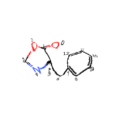 O=C1OC=NC1Cc1ccccc1